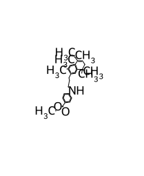 CCOC(=O)c1ccc(NCCCc2cc3c(cc2C)C(C(C)(C)C)=CCC3(C)C)cc1